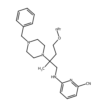 CCCOCCC(C)(CNc1cccc(C#N)n1)N1CCN(Cc2ccccc2)CC1